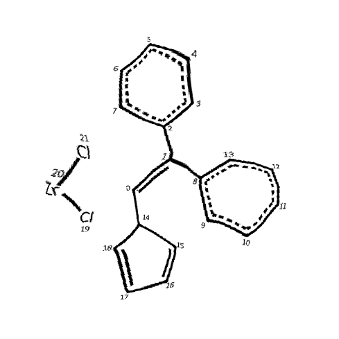 [C](=C(c1ccccc1)c1ccccc1)C1C=CC=C1.[Cl][Zr][Cl]